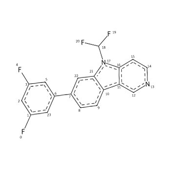 Fc1cc(F)cc(-c2ccc3c4cnccc4n(C(F)F)c3c2)c1